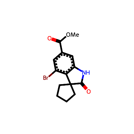 COC(=O)c1cc(Br)c2c(c1)NC(=O)C21CCCC1